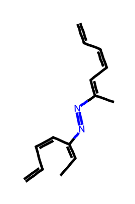 C=C\C=C/C=C(C)/N=N/C(/C=C\C=C)=C/C